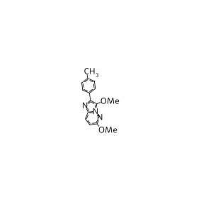 COc1ccc2nc(-c3ccc(C)cc3)c(OC)n2n1